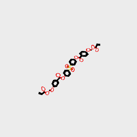 C=CC(=O)OCOc1ccc(C(=O)Oc2ccc(S(=O)(=O)c3ccc(OC(=O)c4ccc(OCOC(=O)C=C)cc4)cc3)cc2)cc1